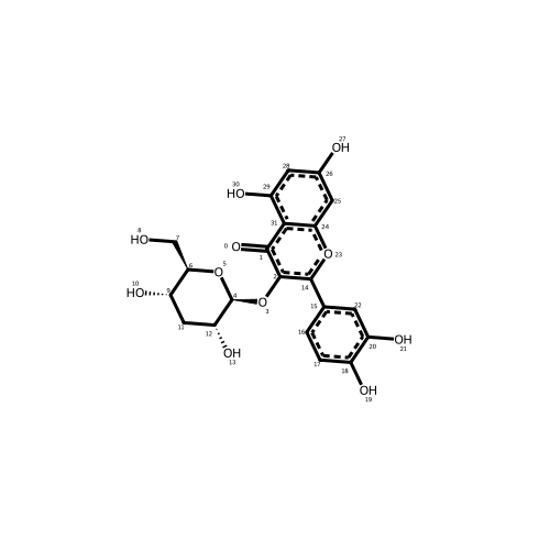 O=c1c(O[C@@H]2O[C@H](CO)[C@@H](O)C[C@H]2O)c(-c2ccc(O)c(O)c2)oc2cc(O)cc(O)c12